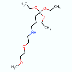 CCO[Si](CCCNCCOCCOC)(OCC)OCC